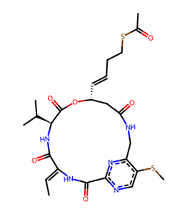 C/C=C1\NC(=O)c2ncc(SC)c(n2)CNC(=O)C[C@@H](/C=C/CCSC(C)=O)OC(=O)[C@H](C(C)C)NC1=O